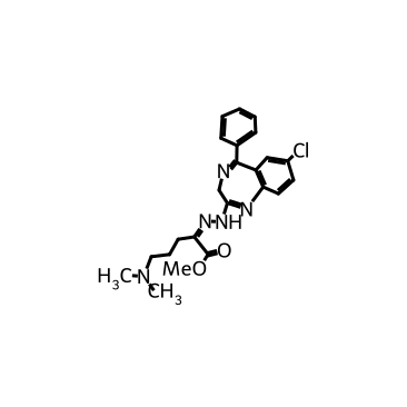 COC(=O)C(CCCN(C)C)=NNC1=Nc2ccc(Cl)cc2C(c2ccccc2)=NC1